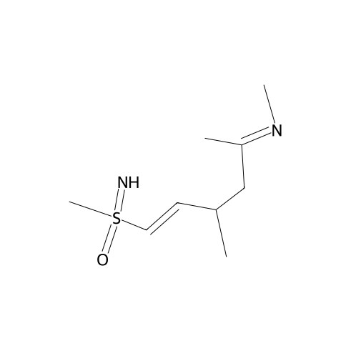 C/N=C(\C)CC(C)/C=C/S(C)(=N)=O